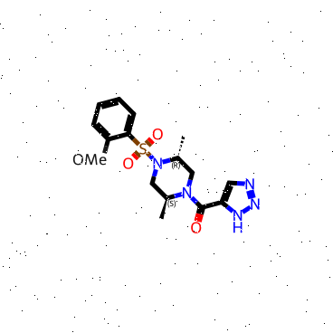 COc1ccccc1S(=O)(=O)N1C[C@H](C)N(C(=O)c2cnn[nH]2)C[C@H]1C